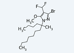 CCCCCCCC(C)(CCCC)n1nc(Br)c(C(F)F)c1OC